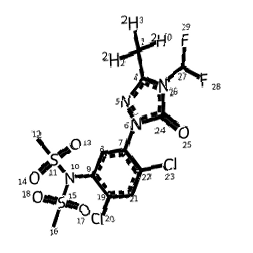 [2H]C([2H])([2H])c1nn(-c2cc(N(S(C)(=O)=O)S(C)(=O)=O)c(Cl)cc2Cl)c(=O)n1C(F)F